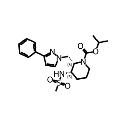 CC(C)OC(=O)N1CCC[C@H](NS(C)(=O)=O)[C@@H]1Cn1ccc(-c2ccccc2)n1